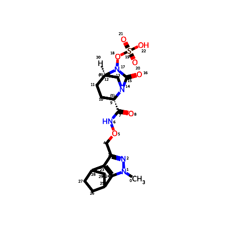 Cn1nc(CONC(=O)[C@@H]2CC[C@@H]3CN2C(=O)N3OS(=O)(=O)O)c2c1C1CCC2C1